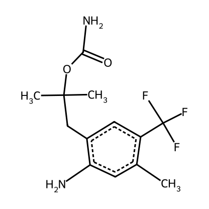 Cc1cc(N)c(CC(C)(C)OC(N)=O)cc1C(F)(F)F